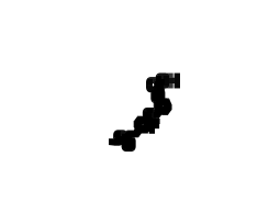 CCOC(=O)CCc1ccc(OCc2cccc(OCC(=O)O)c2)c(F)c1